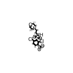 O=[N+]([O-])c1ccc(Cl)c(S(=O)(=O)NCCN2CCOCC2)c1Cl